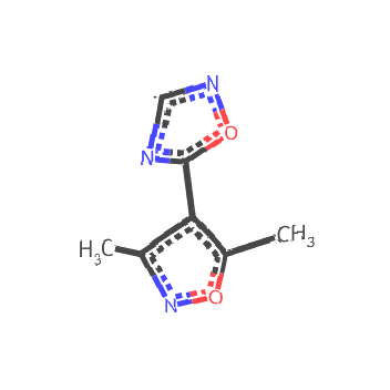 Cc1noc(C)c1-c1n[c]no1